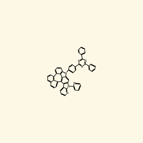 c1ccc(-c2nc(-c3ccccc3)nc(-c3ccc(-n4c5cccc6c5c5c(c7c8cccnc8n(-c8ccccn8)c7cc54)-c4cccc5cccc-6c45)cc3)n2)cc1